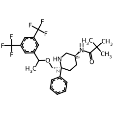 CC(OC[C@@]1(c2ccccc2)CC[C@H](NC(=O)C(C)(C)C)CN1)c1cc(C(F)(F)F)cc(C(F)(F)F)c1